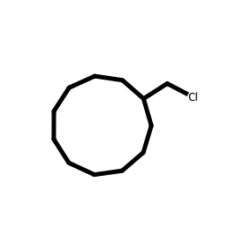 ClCC1CCCCCCCCCC1